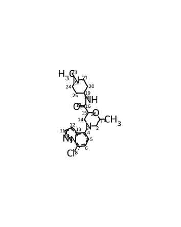 CC1CN(c2ccc(Cl)n3nccc23)CC(C(=O)NC2CCN(C)CC2)O1